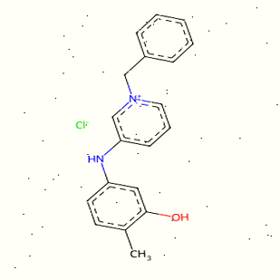 Cc1ccc(Nc2ccc[n+](Cc3ccccc3)c2)cc1O.[Cl-]